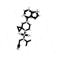 CC(C)N(CC#N)S(=O)(=O)N1CCN(c2ncnc3[nH]ccc23)CC12CC2